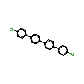 Clc1ccc(-c2ccc(-c3ccc(-c4ccc(Cl)cc4)cc3)cc2)cc1